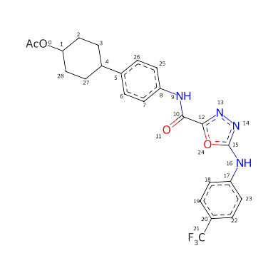 CC(=O)OC1CCC(c2ccc(NC(=O)c3nnc(Nc4ccc(C(F)(F)F)cc4)o3)cc2)CC1